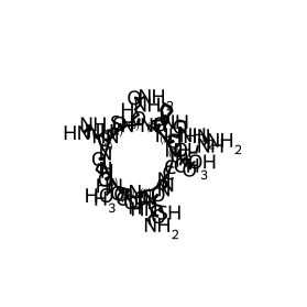 C[C@@H](O)[C@@H]1NC(=O)[C@@H](NC(=O)C(CS)NC(=O)CN)Cc2cn(nn2)CCC[C@@H](C(=O)N(C)[C@H](CCCNC(=N)N)C(=O)O)NC(=O)[C@H](CCC(N)=O)NC(=O)[C@H](Cc2c[nH]c3ccccc23)NC(=O)[C@H](CCCNC(N)=O)NC(=O)[C@H](CS)NC(=O)[C@H](CCCNC(=N)N)NC(=O)C2CCCN2C(=O)[C@H](CC(=O)O)NC1=O